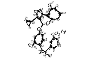 N#CC1(c2cncc(C(=O)O)c2)CC1c1ccc(OCc2c(-c3c(Cl)cccc3Cl)noc2C2CC2)cc1Cl